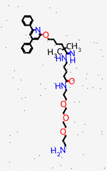 CC(C)(CCCCOc1cc(-c2ccccc2)cc(-c2ccccc2)n1)C(=N)NCCCCC(=O)NCCCOCCOCCOCCCN